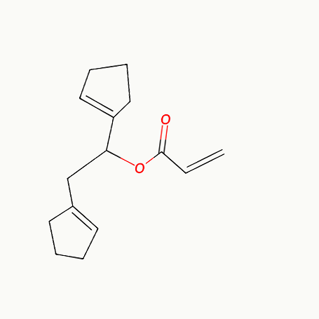 C=CC(=O)OC(CC1=CCCC1)C1=CCCC1